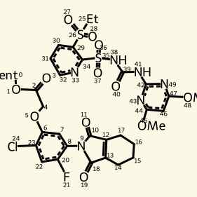 CCCCCOC(=O)COc1cc(N2C(=O)C3=C(CCCC3)C2=O)c(F)cc1Cl.CCS(=O)(=O)c1cccnc1S(=O)(=O)NC(=O)Nc1nc(OC)cc(OC)n1